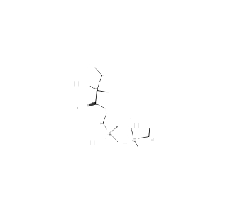 CCC(C)(C)C(=O)OC[Si](C)(C)O[Si](C)(C)CC